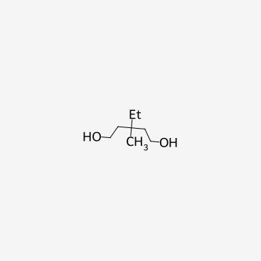 CCC(C)(CCO)CCO